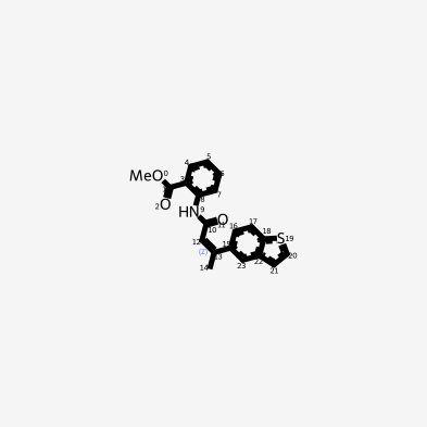 COC(=O)c1ccccc1NC(=O)/C=C(/C)c1ccc2sccc2c1